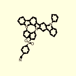 N#Cc1ccc(S(=O)(=O)c2ccc(-n3c4cc5c6ccccc6n(-c6ccccc6)c5cc4c4ccc5c6ccccc6n(-c6ccccc6)c5c43)cc2)cc1